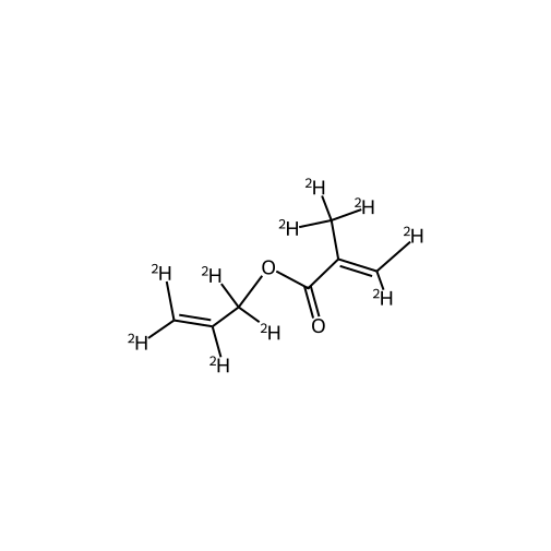 [2H]C([2H])=C(C(=O)OC([2H])([2H])C([2H])=C([2H])[2H])C([2H])([2H])[2H]